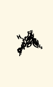 Cc1sc(-c2cnn(C)c2C(=O)NC2CCn3cc(-c4cccc(F)c4)nc3C2)nc1C(F)F